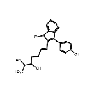 CC(C)n1c(C=CCCC(O)C(O)C(=O)O)c(-c2ccc(O)cc2)c2ccccc21